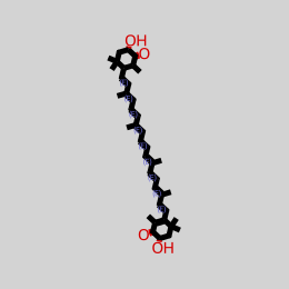 CC1=C(/C=C/C(C)=C/C=C/C(C)=C/C=C/C=C(C)/C=C/C=C(C)/C=C/C2C(C)C(=O)C(O)CC2(C)C)C(C)(C)CC(O)C1=O